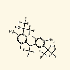 Cc1cc(N)c(C(O)(C(F)(F)F)C(F)(F)F)cc1C(c1cc(C(O)(C(F)(F)F)C(F)(F)F)c(N)cc1C)C(F)(F)F